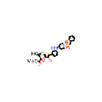 COC(=O)C(Oc1c(C(=O)O)sc(-c2cccc(NC3CCN(S(=O)(=O)Cc4ccccc4)CC3)c2)c1Br)C1CC1